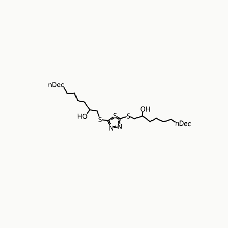 CCCCCCCCCCCCCCC(O)CSc1nnc(SCC(O)CCCCCCCCCCCCCC)s1